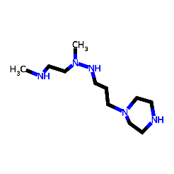 CNCCN(C)NCCCN1CCNCC1